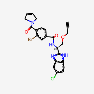 C#CCOC[C@H](NC(=O)c1ccc(C(=O)N2CC=CC2)c(Br)c1)c1nc2cc(Cl)ccc2[nH]1